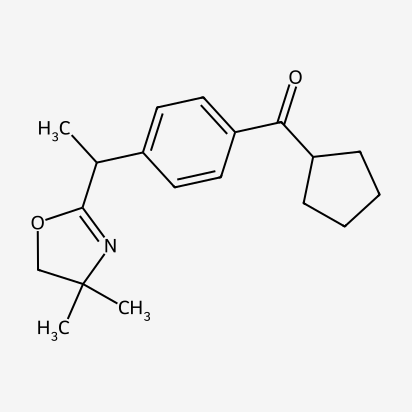 CC(C1=NC(C)(C)CO1)c1ccc(C(=O)C2CCCC2)cc1